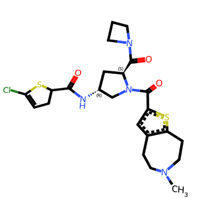 CN1CCc2cc(C(=O)N3C[C@H](NC(=O)C4CC=C(Cl)S4)C[C@H]3C(=O)N3CCC3)sc2CC1